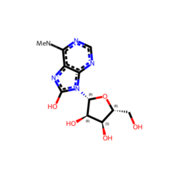 CNc1ncnc2c1nc(O)n2[C@@H]1O[C@H](CO)[C@@H](O)[C@H]1O